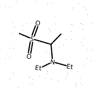 CCN(CC)C(C)S(C)(=O)=O